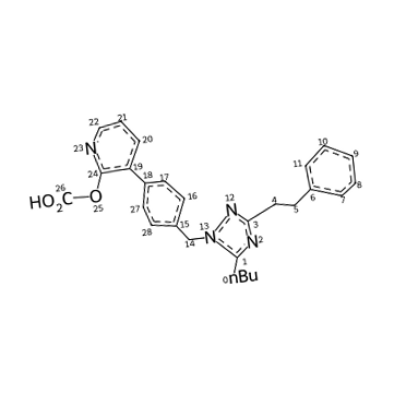 CCCCc1nc(CCc2ccccc2)nn1Cc1ccc(-c2cccnc2OC(=O)O)cc1